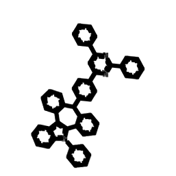 c1ccc(-c2cc(-c3ccc(C4c5ccccc5-c5c(n(-c6ccccc6)c6ccccc56)-c5ccccc54)cc3)nc(-c3ccccc3)n2)cc1